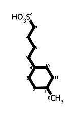 CC1CCC(CCCCS(=O)(=O)O)CC1